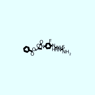 NC(=S)NNCNc1ccc(N2C[C@H](COC(=O)c3ccccc3)OC2=O)cc1F